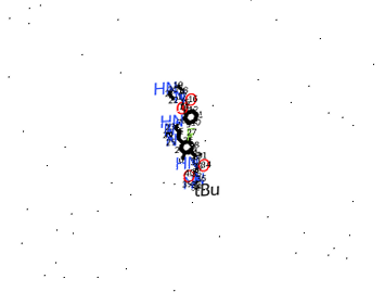 Cc1cc(-c2cc(Nc3ccccc3OC(=O)N3CCNCC3)ncn2)c(F)cc1[C@@H](C)NC(=O)c1nc(C(C)(C)C)no1